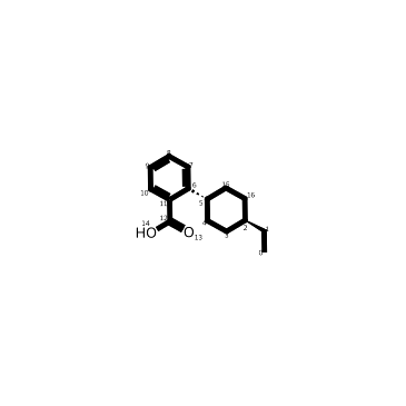 CC[C@H]1CC[C@H](c2ccccc2C(=O)O)CC1